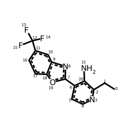 CCc1nccc(-c2nc3cc(C(F)(F)F)ccc3o2)c1N